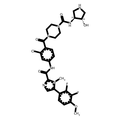 COc1ccc(-c2cnc(C(=O)Nc3ccc(C(=O)N4CCN(C(=O)N[C@H]5CNC[C@@H]5O)CC4)c(Cl)c3)n2C)c(F)c1F